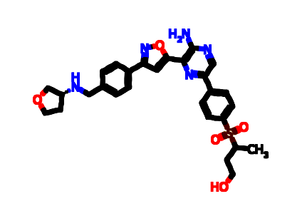 CC(CCO)S(=O)(=O)c1ccc(-c2cnc(N)c(-c3cc(-c4ccc(CN[C@@H]5CCOC5)cc4)no3)n2)cc1